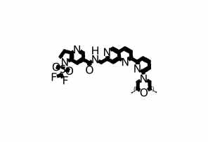 C[C@@H]1CN(c2cccc(-c3ccc4cnc(CNC(=O)c5cnc6c(c5)N(S(=O)(=O)C(F)F)CC6)cc4n3)n2)C[C@H](C)O1